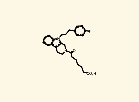 O=C(O)CCCCCC(=O)N1CCc2c(n(CCCc3ccc(F)cc3)c3ccccc23)C1